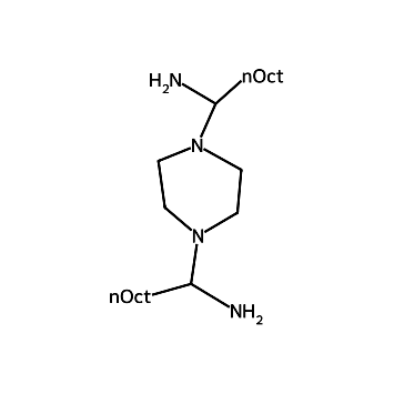 CCCCCCCCC(N)N1CCN(C(N)CCCCCCCC)CC1